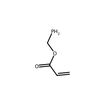 C=CC(=O)OCP